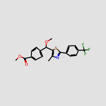 COC(=O)c1ccc(C(OC)c2sc(-c3ccc(C(F)(F)F)cc3)nc2C)cc1